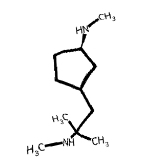 CN[C@@H]1CCC(CC(C)(C)NC)C1